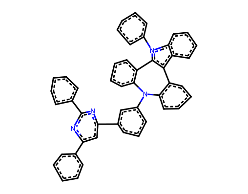 c1ccc(-c2cc(-c3cccc(N4c5ccccc5-c5c(n(-c6ccccc6)c6ccccc56)-c5ccccc54)c3)nc(-c3ccccc3)n2)cc1